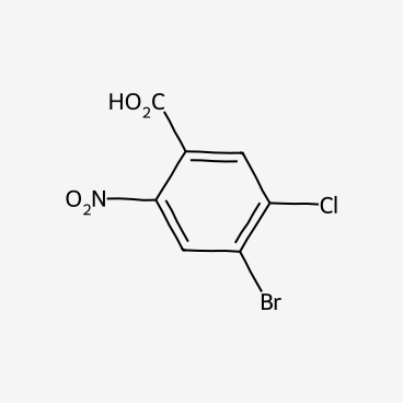 O=C(O)c1cc(Cl)c(Br)cc1[N+](=O)[O-]